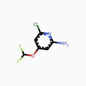 Nc1cc(OC(F)F)cc(Cl)n1